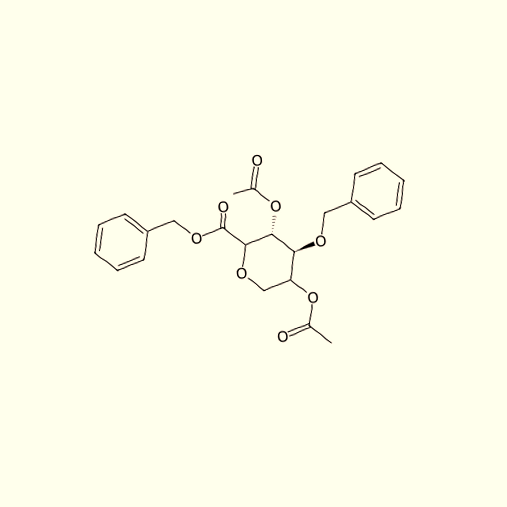 CC(=O)OC1COC(C(=O)OCc2ccccc2)[C@H](OC(C)=O)[C@H]1OCc1ccccc1